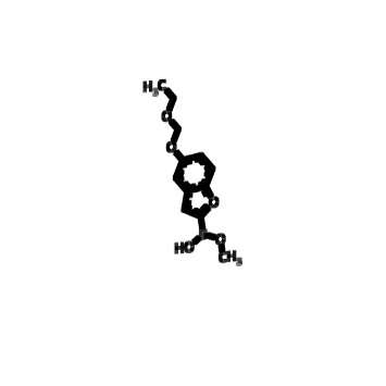 CCOCOc1ccc2oc(B(O)OC)cc2c1